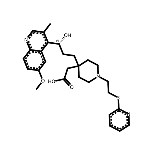 COc1ccc2ncc(C)c([C@H](O)CCC3(CC(=O)O)CCN(CCSc4ccccn4)CC3)c2c1